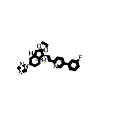 Fc1cccc(-c2ccc(/C=C/[C@H]3[C@@H]4CC[C@H](n5cncn5)C[C@@H]4CC34OCCO4)nc2)c1